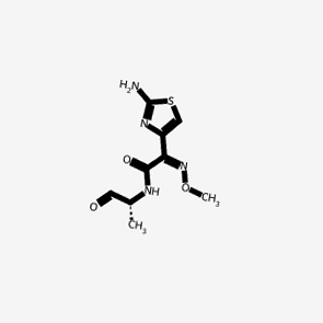 CON=C(C(=O)N[C@H](C)[C]=O)c1csc(N)n1